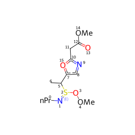 CCC/N=S(/OOC)C(C)c1cnc(CC(=O)OC)o1